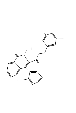 Cc1ccccc1-c1c(C(=O)NCc2cc(C(F)(F)F)cc(C(F)(F)F)c2)n(C)c(=O)c2ccccc12